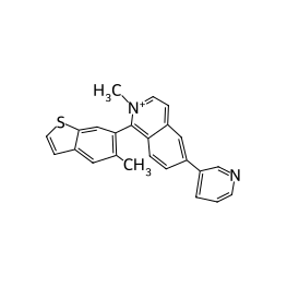 Cc1cc2ccsc2cc1-c1c2ccc(-c3cccnc3)cc2cc[n+]1C